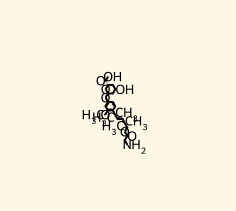 COc1cc(OC2CC(O)C[C@@H](C(=O)O)O2)ccc1C(C)(C)/C=C/C(C)(C)COC(=O)CN